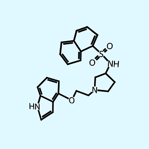 O=S(=O)(NC1CCN(CCOc2cccc3[nH]ccc23)C1)c1cccc2ccccc12